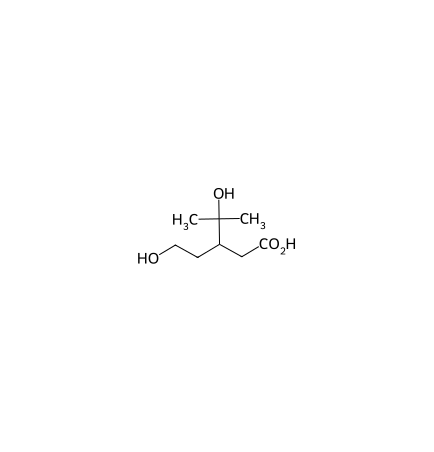 CC(C)(O)C(CCO)CC(=O)O